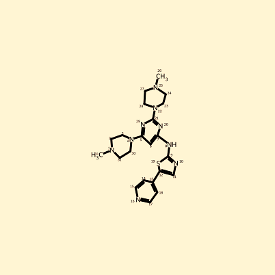 CN1CCN(c2cc(Nc3ncc(-c4ccncc4)s3)nc(N3CCN(C)CC3)n2)CC1